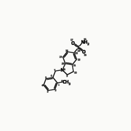 Cc1ccccc1CN1CCc2cc(S(N)(=O)=O)ccc21